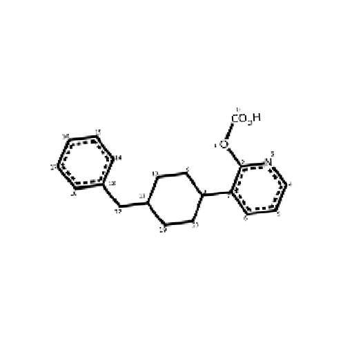 O=C(O)Oc1ncccc1C1CCC(Cc2ccccc2)CC1